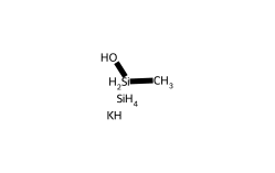 C[SiH2]O.[KH].[SiH4]